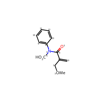 C=C(COC)C(=O)N(C(=O)O)c1ccccc1